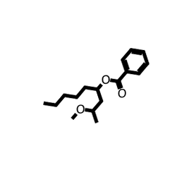 CCCCCC(CC(C)OC)OC(=O)c1ccccc1